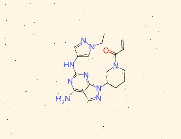 C=CC(=O)N1CCCC(n2ncc3c(N)nc(Nc4cnn(CC)c4)nc32)C1